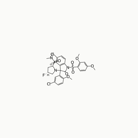 COc1ccc(S(=O)(=O)N2C(=O)C(c3cc(Cl)ccc3OC)(N3C[C@H](F)C[C@H]3C(=O)N(C)C)c3c2ccc(Cl)c3C)c(OC)c1